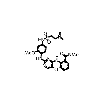 CNC(=O)c1ccccc1Nc1nc(Nc2ccc(NS(=O)(=O)CCN(C)C)cc2OC)ncc1Cl